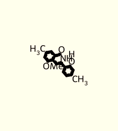 COc1cc(C)cc2c(=O)[nH]c(-c3ccc(C)cc3O)cc12